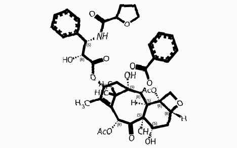 CC(=O)O[C@H]1C(=O)[C@]2(C)[C@@H](O)C[C@H]3OC[C@]3(OC(C)=O)[C@@H]2[C@@H](OC(=O)c2ccccc2)[C@]2(O)C[C@@H](OC(=O)[C@H](O)[C@@H](NC(=O)C3CCCO3)c3ccccc3)C(C)=C1C2(C)C